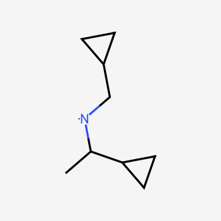 CC([N]CC1CC1)C1CC1